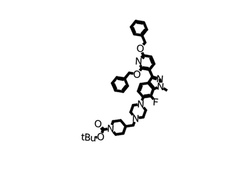 Cn1nc(-c2ccc(OCc3ccccc3)nc2OCc2ccccc2)c2ccc(N3CCN(CC4CCN(C(=O)OC(C)(C)C)CC4)CC3)c(F)c21